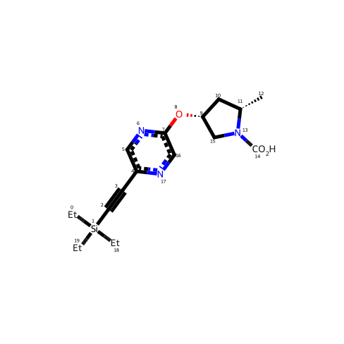 CC[Si](C#Cc1cnc(O[C@@H]2C[C@H](C)N(C(=O)O)C2)cn1)(CC)CC